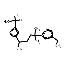 CCc1csc(C(C)(C)CCC(C)c2coc(C(C)(C)C)c2)c1